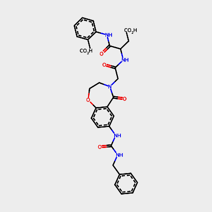 O=C(O)CC(NC(=O)CN1CCOc2ccc(NC(=O)NCc3ccccc3)cc2C1=O)C(=O)Nc1ccccc1C(=O)O